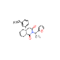 COc1cccc(C23CCCCC2C(=O)N(C(C)c2ccco2)C(=O)C3)c1